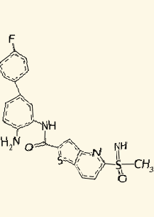 CS(=N)(=O)c1ccc2sc(C(=O)Nc3cc(-c4ccc(F)cc4)ccc3N)cc2n1